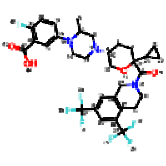 CC1CN([C@@H]2CC[C@@](C(=O)N3CCc4c(cc(C(F)(F)F)cc4C(F)(F)F)C3)(C3CC3)OC2)CCN1c1ccc(F)c(C(=O)O)c1